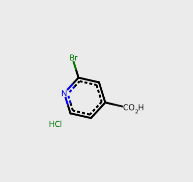 Cl.O=C(O)c1ccnc(Br)c1